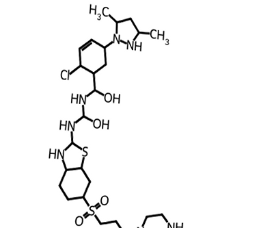 CC1CC(C)N(C2C=CC(Cl)C(C(O)NC(O)NC3NC4CCC(S(=O)(=O)CCCN5CCNCC5)CC4S3)C2)N1